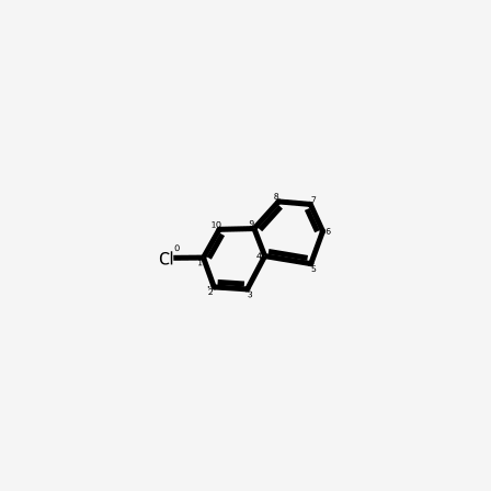 Clc1[c]cc2ccccc2c1